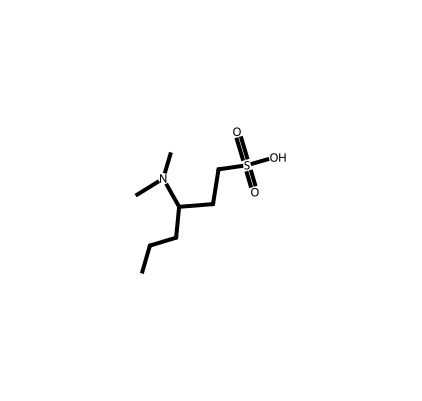 CCCC(CCS(=O)(=O)O)N(C)C